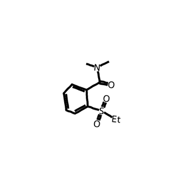 CCS(=O)(=O)c1ccccc1C(=O)N(C)C